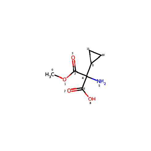 COC(=O)C(N)(C(=O)O)C1CC1